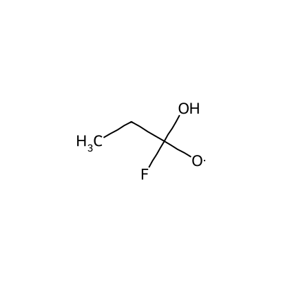 CCC([O])(O)F